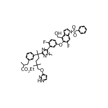 CCOC(=O)C(C)Cc1cccc(C(C)(CCC(C)(C)COc2cc[nH]n2)c2nc(-c3cc(Oc4c(F)cc5c(ccn5S(=O)(=O)c5ccccc5)c4CO)ccc3F)n(C)n2)c1